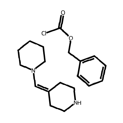 C(=C1CCNCC1)N1CCCCC1.O=C(Cl)OCc1ccccc1